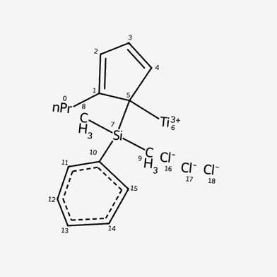 CCCC1=CC=C[C]1([Ti+3])[Si](C)(C)c1ccccc1.[Cl-].[Cl-].[Cl-]